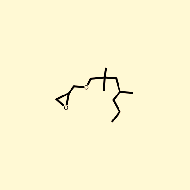 CCCC(C)CC(C)(C)COCC1CO1